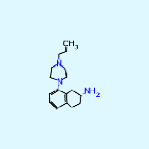 CCCN1CCN(c2cccc3c2C[C@H](N)CC3)CC1